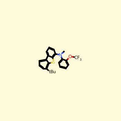 CN(c1ccccc1OC(F)(F)F)c1cccc2c1sc1c(C(C)(C)C)cccc12